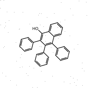 Oc1c(-c2ccccc2)c(-c2ccccc2)c(-c2ccccc2)c2ccccc12